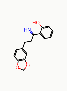 N=C(CCc1ccc2c(c1)OCO2)c1ccccc1O